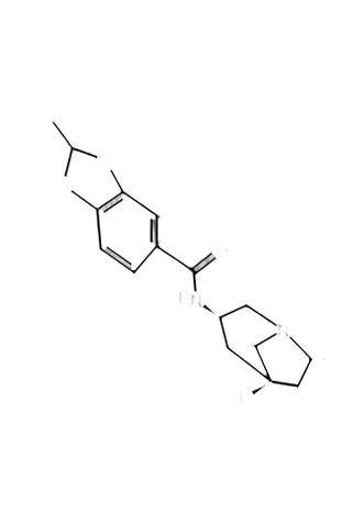 CC1Oc2ccc(C(=O)N[C@@H]3C[C@H]4CCN(C4)C3)cc2O1